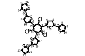 Clc1c(C2=CCC(c3cccs3)S2)c(Cl)c(-c2ccc(-c3cccs3)s2)c(Cl)c1-c1ccc(-c2cccs2)s1